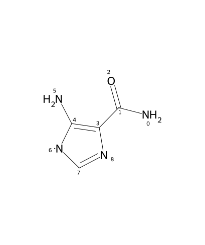 NC(=O)C1=C(N)[N]C=N1